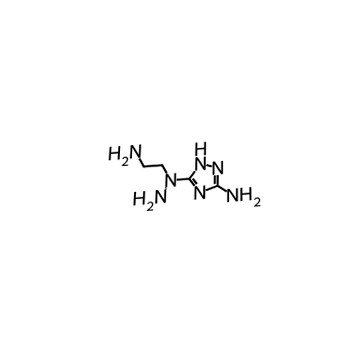 NCCN(N)c1nc(N)n[nH]1